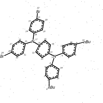 CCCCc1ccc(N(c2ccc(CCCC)cc2)c2ccc(N(c3ccc(Br)cc3)c3ccc(Br)cc3)cc2)cc1